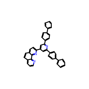 c1ccc(-c2ccc(-c3cc(-c4ccc5ccc6cccnc6c5n4)cc(-c4ccc(-c5ccccc5)cc4)n3)cc2)cc1